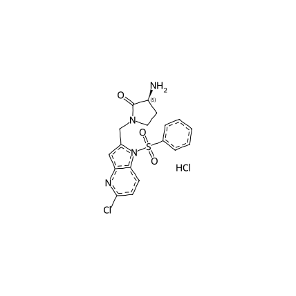 Cl.N[C@H]1CCN(Cc2cc3nc(Cl)ccc3n2S(=O)(=O)c2ccccc2)C1=O